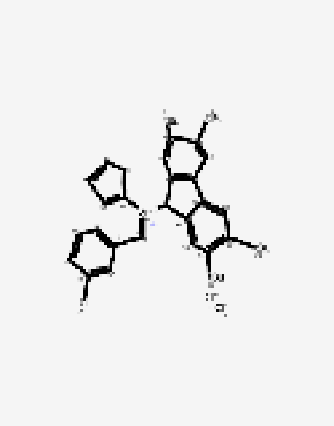 CC(C)(C)c1cc2c(cc1C(C)(C)C)[CH](/[Zr+2](=[CH]/c1cccc(Cl)c1)[C]1=CC=CC1)c1cc(C(C)(C)C)c(C(C)(C)C)cc1-2.[Cl-].[Cl-]